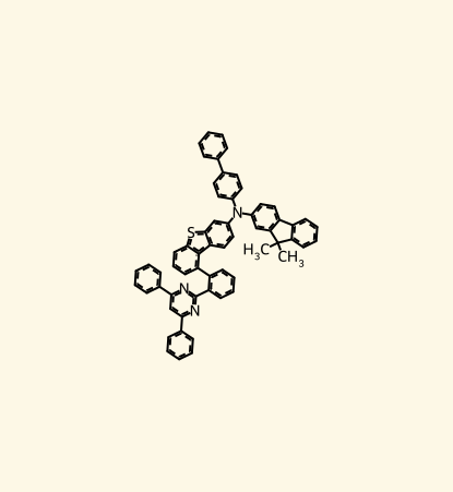 CC1(C)c2ccccc2-c2ccc(N(c3ccc(-c4ccccc4)cc3)c3ccc4c(c3)sc3cccc(-c5ccccc5-c5nc(-c6ccccc6)cc(-c6ccccc6)n5)c34)cc21